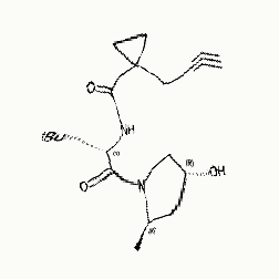 C#CCC1(C(=O)N[C@H](C(=O)N2C[C@H](O)C[C@H]2C)C(C)(C)C)CC1